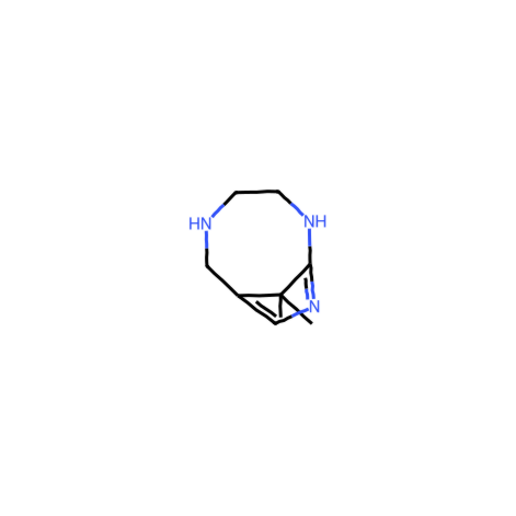 CC1(C)C2=CN=C1NCCNC2